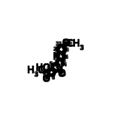 CCC1(O)C(=O)Cc2c1cc1n(c2=O)Cc2cc3cc(OC)ccc3nc2-1